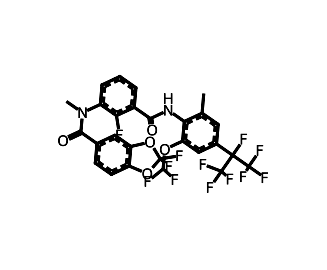 Cc1cc(C(F)(C(F)(F)F)C(F)(F)F)cc(OC(F)F)c1NC(=O)c1cccc(N(C)C(=O)c2ccc3c(c2)OC(F)(F)O3)c1F